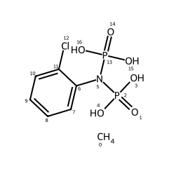 C.O=P(O)(O)N(c1ccccc1Cl)P(=O)(O)O